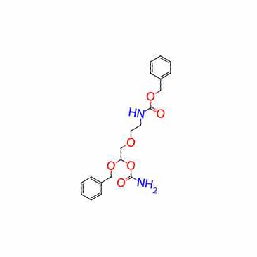 NC(=O)OC(COCCNC(=O)OCc1ccccc1)OCc1ccccc1